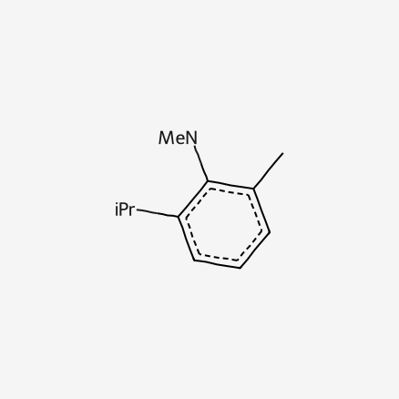 CNc1c(C)cccc1C(C)C